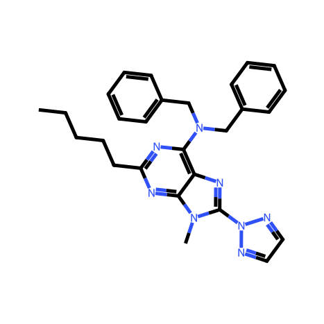 CCCCCc1nc(N(Cc2ccccc2)Cc2ccccc2)c2nc(-n3nccn3)n(C)c2n1